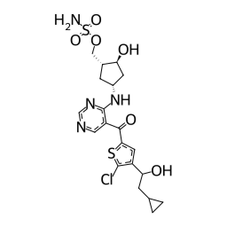 NS(=O)(=O)OC[C@H]1C[C@@H](Nc2ncncc2C(=O)c2cc(C(O)CC3CC3)c(Cl)s2)C[C@@H]1O